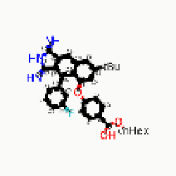 CCCCCCOC(O)c1ccc(Oc2cc(C(C)(C)C)cc3cc4c(c(-c5cccc(F)c5)c23)C(=N)NC4=N)cc1